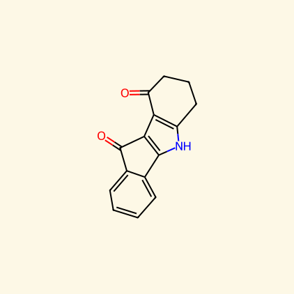 O=C1CCCc2[nH]c3c(c21)C(=O)c1ccccc1-3